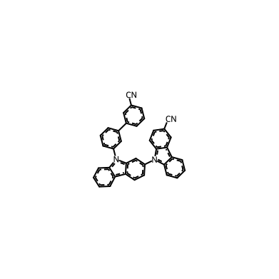 N#Cc1cccc(-c2cccc(-n3c4ccccc4c4ccc(-n5c6ccccc6c6cc(C#N)ccc65)cc43)c2)c1